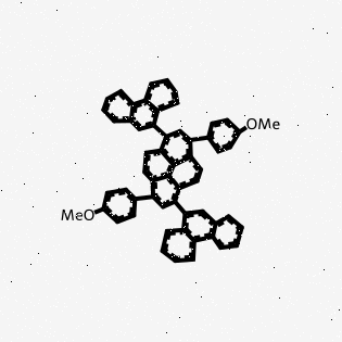 COc1ccc(-c2cc(-c3cc4ccccc4c4ccccc34)c3ccc4c(-c5ccc(OC)cc5)cc(-c5cc6ccccc6c6ccccc56)c5ccc2c3c45)cc1